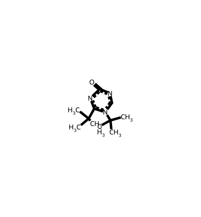 CC(C)(C)c1nc(=O)ncn1C(C)(C)C